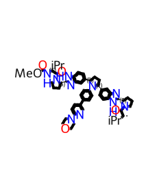 COC(=O)N[C@H](C(=O)N1CCC[C@H]1c1nc2cc([C@H]3CC[C@H](c4ccc5[nH]c([C@@H]6CCCN6C(=O)[CH]C(C)C)nc5c4)N3c3ccc(-c4ccc(N5CCOCC5)nc4)cc3)ccc2[nH]1)C(C)C